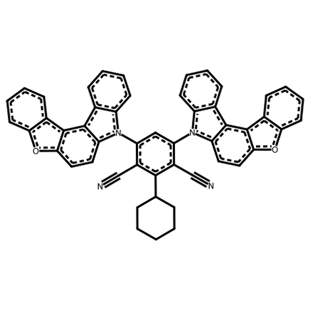 N#Cc1c(-n2c3ccccc3c3c4c(ccc32)oc2ccccc24)cc(-n2c3ccccc3c3c4c(ccc32)oc2ccccc24)c(C#N)c1C1CCCCC1